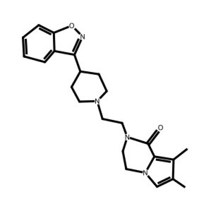 Cc1cn2c(c1C)C(=O)N(CCN1CCC(c3noc4ccccc34)CC1)CC2